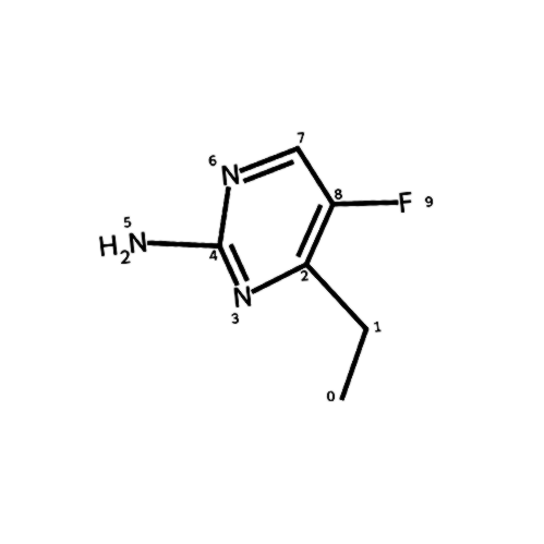 CCc1nc(N)ncc1F